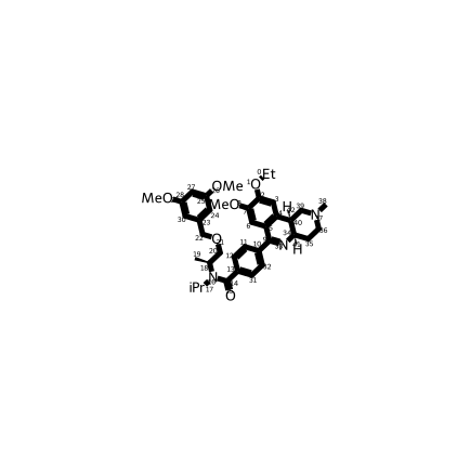 CCOc1cc2c(cc1OC)C(c1ccc(C(=O)N(C(C)C)[C@@H](C)COCc3cc(OC)cc(OC)c3)cc1)=N[C@@H]1CCN(C)C[C@H]21